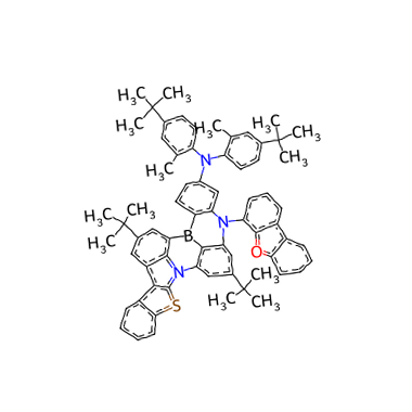 Cc1cc(C(C)(C)C)ccc1N(c1ccc2c(c1)N(c1cccc3c1oc1ccccc13)c1cc(C(C)(C)C)cc3c1B2c1cc(C(C)(C)C)cc2c4c5ccccc5sc4n-3c12)c1ccc(C(C)(C)C)cc1C